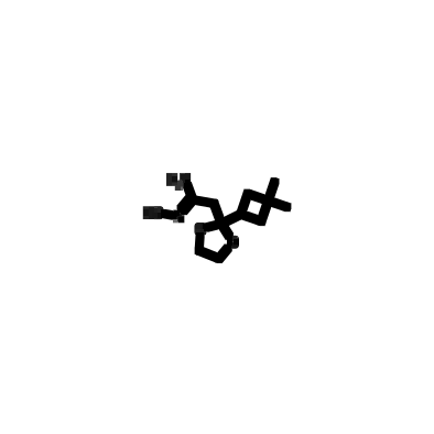 CC1(C)CC(C2(CC(N)=NO)OCCO2)C1